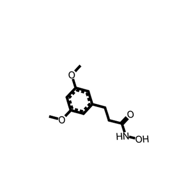 COc1cc(CCC(=O)NO)cc(OC)c1